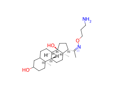 C/C(=N/OCCCN)[C@H]1CC[C@@]2(O)[C@@H]3CCC4CC(O)CC[C@]4(C)[C@H]3CC[C@]12C